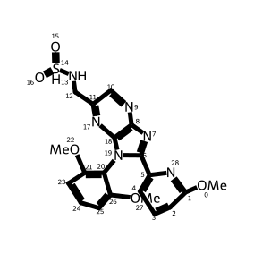 COc1cccc(-c2nc3ncc(CN[SH](=O)=O)nc3n2-c2c(OC)cccc2OC)n1